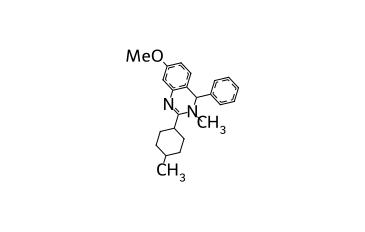 COc1ccc2c(c1)N=C(C1CCC(C)CC1)N(C)C2c1ccccc1